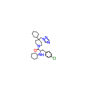 O=C([C@@H](Cc1ccc(Cl)cc1)NC1CCCCC1)N1CCC(Cn2cncn2)(C2CCCCC2)CC1